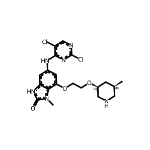 C[C@H]1CNC[C@@H](OCCOc2cc(Nc3nc(Cl)ncc3Cl)cc3[nH]c(=O)n(C)c23)C1